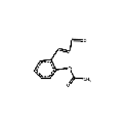 CC(=O)Oc1ccccc1/C=C/C=O